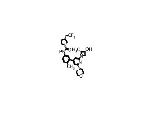 Cc1ccc(NC(=O)N2CC[C@@H](CC(F)(F)F)C2)cc1-c1cc(N2CCOCC2)nc(N2C[C@@H](O)[C@H]2C)c1